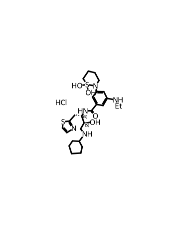 CCNc1cc(C(=O)N[C@@H](Cc2nccs2)[C@@H](O)CNC2CCCCC2)cc(N2CCCCS2(O)O)c1.Cl